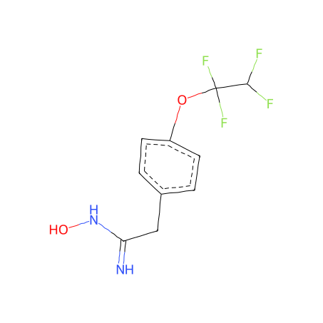 N=C(Cc1ccc(OC(F)(F)C(F)F)cc1)NO